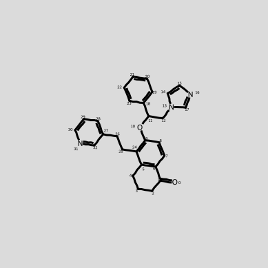 O=C1CCCc2c1ccc(OC(Cn1ccnc1)c1ccccc1)c2CCc1cccnc1